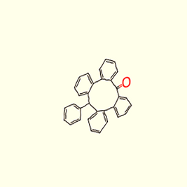 O=C1c2ccccc2-c2ccccc2C(c2ccccc2)c2ccccc2-c2ccccc21